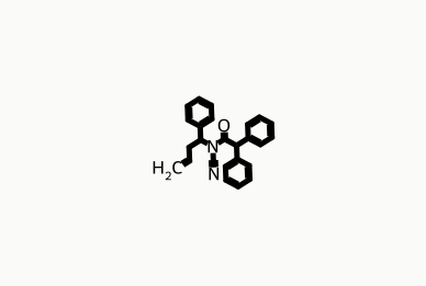 C=CCC(c1ccccc1)N(C#N)C(=O)C(c1ccccc1)c1ccccc1